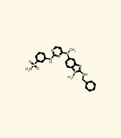 CN(c1ccc2c(c1)nc(NCc1ccccc1)n2C)c1ccnc(Nc2cccc(S(N)(=O)=O)c2)n1